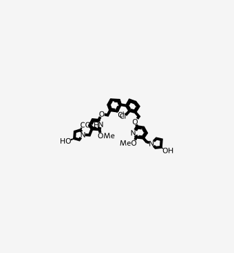 COc1nc(OCc2cccc(-c3cccc(COc4ccc(CN5C[C@@H](O)C[C@H]5C(=O)O)c(OC)n4)c3Cl)c2Cl)ccc1CN1CC[C@H](O)C1